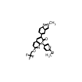 COc1ccc(-n2c(=O)c(-c3ccc4nn(C)cc4c3)cc3ccc(OCC(F)(F)F)nc32)cn1